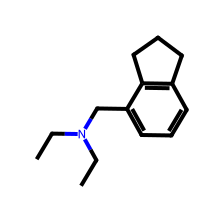 CCN(CC)Cc1cccc2c1CCC2